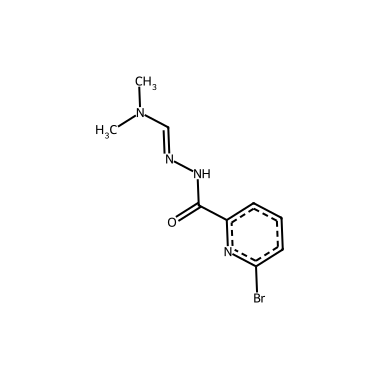 CN(C)C=NNC(=O)c1cccc(Br)n1